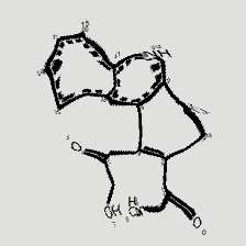 O=C(O)C1=C(C(=O)O)c2c([nH]c3ccccc23)CC1